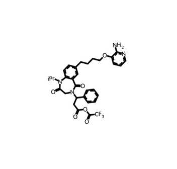 CC(C)N1C(=O)CN(C(CC(=O)OC(=O)C(F)(F)F)c2ccccc2)C(=O)c2cc(CCCCOc3cccnc3N)ccc21